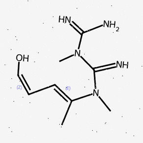 C/C(=C\C=C/O)N(C)C(=N)N(C)C(=N)N